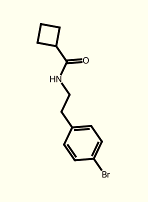 O=C(NCCc1ccc(Br)cc1)C1CCC1